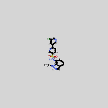 Cn1ncc2cccc(NS(=O)(=O)c3ccc(-c4cncc(Cl)c4)nc3)c21